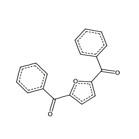 O=C(c1ccccc1)c1ccc(C(=O)c2ccccc2)o1